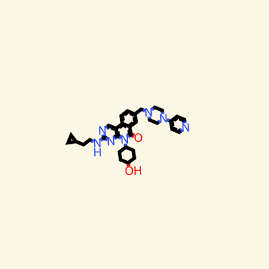 O=c1c2cc(CN3CCN(c4ccncc4)CC3)ccc2c2cnc(NCCC3CC3)nc2n1C1CCC(O)CC1